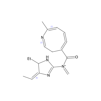 C=[N+](C(=O)C1=C=C/C=C(C)\N=C/C1)C1=N/C(=C/C)C(CC)N1